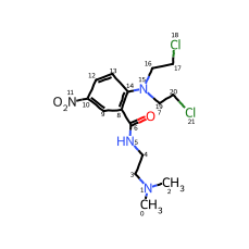 CN(C)CCNC(=O)c1cc([N+](=O)[O-])ccc1N(CCCl)CCCl